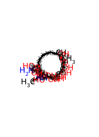 CCCCNC(=O)[C@H]1[C@@H]2CC(O[C@@H]3OC[C@@H](O)[C@H](N)[C@@H]3O)/C=C/C=C/C=C/C=C/C=C/C=C/C=C/[C@H](C)[C@@H](O)C[C@H](C)OC(=O)CC(O)CC(O)CCC(O)C(O)CC(O)CC(O)(C[C@@H]1O)O2